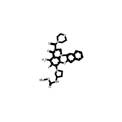 CC(C)(C)OC(=O)NC1CCN(c2c(F)c(N)c3c(=O)c(C(=O)N4CCOCC4)cn4c3c2Oc2cc3ccccc3cc2-4)C1